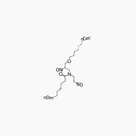 CCCCCCCCCCCCCCCCOCC(CN(CCN=O)C(=O)CCCCCCCCCCCCCCC)N=O